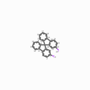 Ic1ccc2c(c1)C1(c3ccccc3-2)c2ccccc2-c2ccc(I)cc21